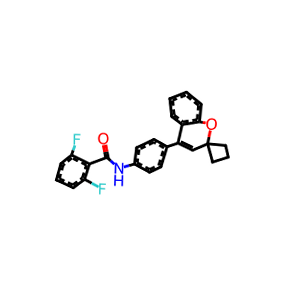 O=C(Nc1ccc(C2=CC3(CCC3)Oc3ccccc32)cc1)c1c(F)cccc1F